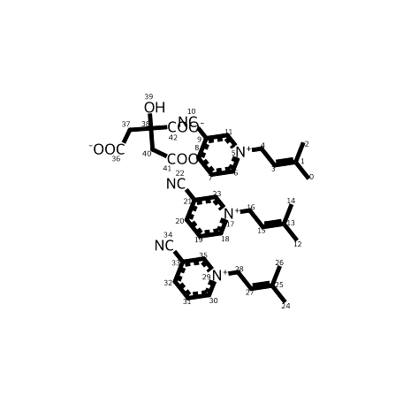 CC(C)=CC[n+]1cccc(C#N)c1.CC(C)=CC[n+]1cccc(C#N)c1.CC(C)=CC[n+]1cccc(C#N)c1.O=C([O-])CC(O)(CC(=O)[O-])C(=O)[O-]